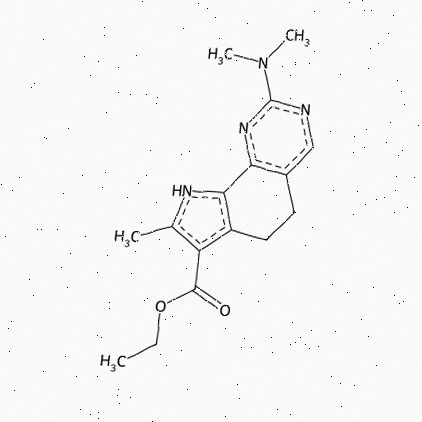 CCOC(=O)c1c(C)[nH]c2c1CCc1cnc(N(C)C)nc1-2